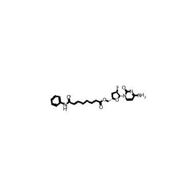 Nc1ccn([C@@H]2O[C@H](COC(=O)CCCCCCC(=O)Nc3ccccc3)CC2F)c(=O)n1